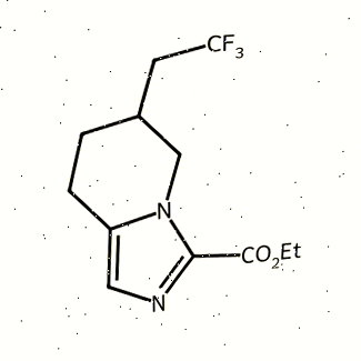 CCOC(=O)c1ncc2n1CC(CC(F)(F)F)CC2